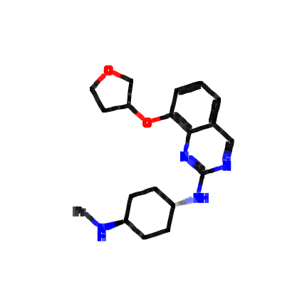 CC(C)N[C@H]1CC[C@H](Nc2ncc3cccc(OC4CCOC4)c3n2)CC1